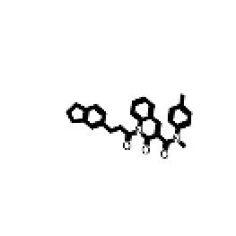 Cc1ccc(N(C)C(=O)c2cc3ccccc3n(C(=O)CCc3ccc4c(c3)CCC4)c2=O)cc1